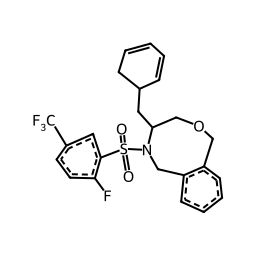 O=S(=O)(c1cc(C(F)(F)F)ccc1F)N1Cc2ccccc2COCC1CC1C=CC=CC1